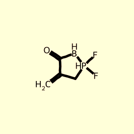 C=C1C[PH](F)(F)BC1=O